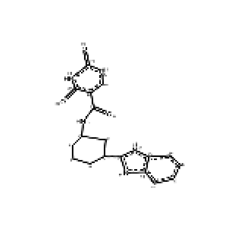 O=C(NC1CCCC(c2nc3ccccc3[nH]2)C1)c1c[nH]c(=O)[nH]c1=O